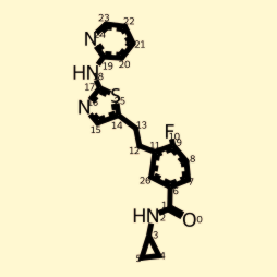 O=C(NC1CC1)c1ccc(F)c(CCc2cnc(Nc3ccccn3)s2)c1